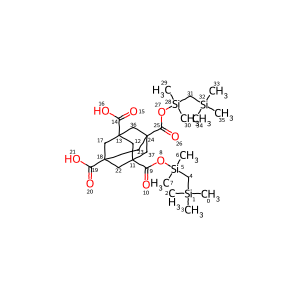 C[Si](C)(C)C[Si](C)(C)OC(=O)C12CC3(C(=O)O)CC(C(=O)O)(C1)CC(C(=O)O[Si](C)(C)C[Si](C)(C)C)(C3)C2